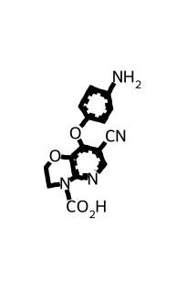 N#Cc1cnc2c(c1Oc1ccc(N)cc1)OCCN2C(=O)O